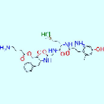 CSCC[C@H](NC(=O)[C@@H](N)Cc1c(C)cc(O)cc1C)C(=O)NCC(=O)N[C@@H](Cc1ccccc1)C(=O)COC(=O)CCCN.Cl